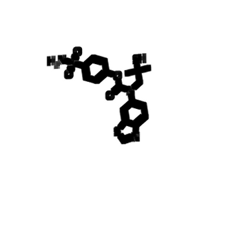 CC(C)(S)CN(C(=O)Oc1ccc(S(N)(=O)=O)cc1)c1ccc2ncsc2c1